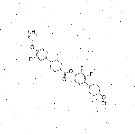 C=CCOc1ccc(C2CCC(C(=O)Oc3ccc(C4CCC(OCC)CC4)c(F)c3F)CC2)cc1F